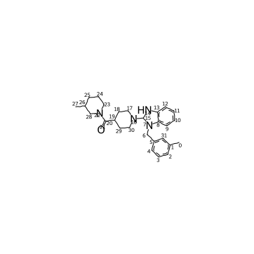 Cc1cccc(CN2c3ccccc3NC2N2CCC(C(=O)N3CCCC(C)C3)CC2)c1